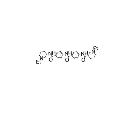 CCN1CCCC(NC(=O)c2ccc(NC(=O)c3ccc(NC(=O)C4CCCN(CC)C4)cc3)cc2)C1